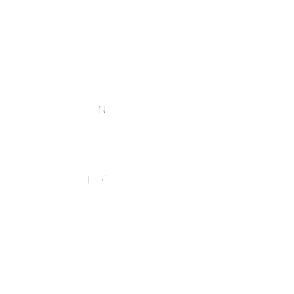 CC(CC=N)Cc1ccccc1